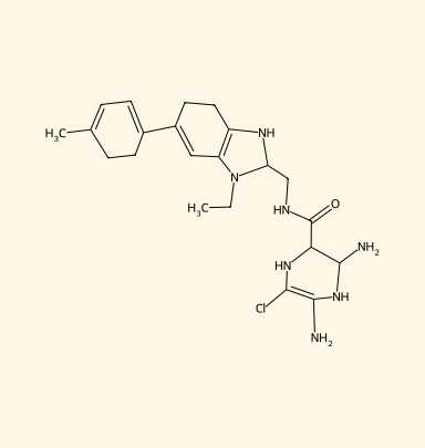 CCN1C2=C(CCC(C3=CC=C(C)CC3)=C2)NC1CNC(=O)C1NC(Cl)=C(N)NC1N